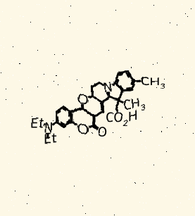 CCN(CC)c1ccc2c(c1)OC(=O)C1C=C3C4=[N+](CCC3OC21)c1ccc(C)cc1C4(C)CC(=O)O